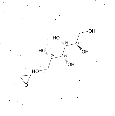 C1CO1.OC[C@@H](O)[C@@H](O)[C@H](O)[C@@H](O)CO